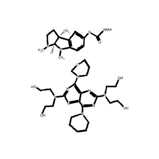 CNC(=O)Oc1ccc2c(c1)[C@]1(C)CCN(C)[C@@H]1N2C.OCCN(CCO)c1nc(N2CCCCC2)c2nc(N(CCO)CCO)nc(N3CCCCC3)c2n1